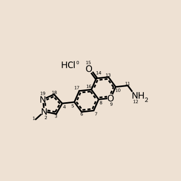 Cl.Cn1cc(-c2ccc3oc(CN)cc(=O)c3c2)cn1